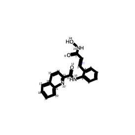 O=C(/C=C/c1ccccc1NC(=O)c1ccc2ccccc2n1)NO